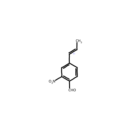 C/C=C/c1ccc(C=O)c([N+](=O)[O-])c1